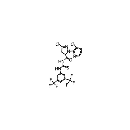 O=C(NC(=S)Nc1cc(C(F)(F)F)cc(C(F)(F)F)c1)C1CC(Cl)=NN1c1ncccc1Cl